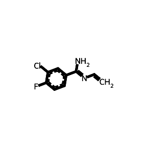 C=C/N=C(\N)c1ccc(F)c(Cl)c1